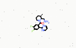 C[C@@H]1CCCN(C(=O)c2cc(F)c(F)cc2-c2ncccn2)C1CN